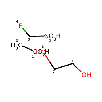 CC(=O)O.O=S(=O)(O)CF.OCCO